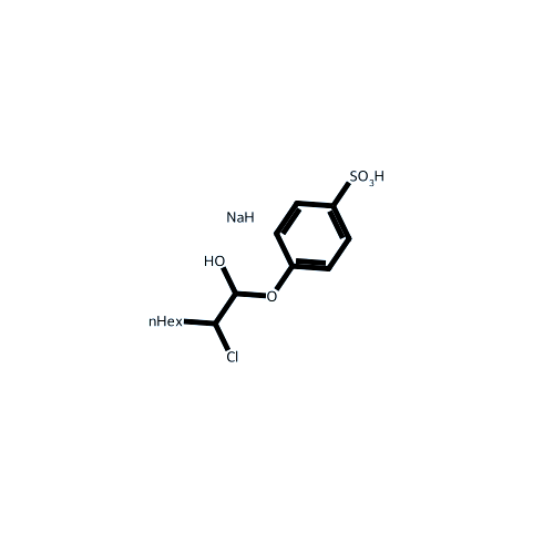 CCCCCCC(Cl)C(O)Oc1ccc(S(=O)(=O)O)cc1.[NaH]